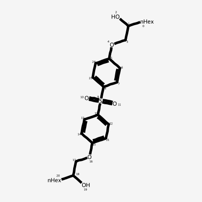 CCCCCCC(O)COc1ccc(S(=O)(=O)c2ccc(OCC(O)CCCCCC)cc2)cc1